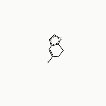 FC1=Cc2ccoc2CC1